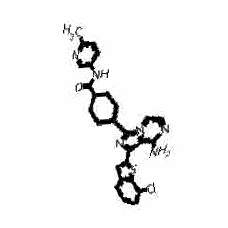 Cc1ccc(NC(=O)C2CCC(c3nc(-c4cc5cccc(Cl)c5s4)c4c(N)nccn34)CC2)cn1